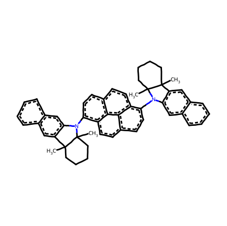 CC12CCCCC1(C)N(c1ccc3ccc4c(N5c6cc7ccccc7cc6C6(C)CCCCC56C)ccc5ccc1c3c54)c1cc3ccccc3cc12